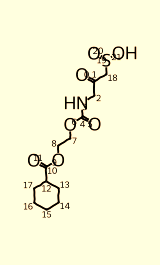 O=C(CNC(=O)OCCOC(=O)C1CCCCC1)CS(=O)O